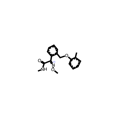 CNC(=O)/C(=N\OC)c1ccccc1COc1ccccc1C